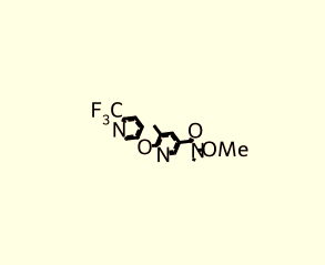 CON(C)C(=O)c1cnc(Oc2ccc(C(F)(F)F)nc2)c(C)c1